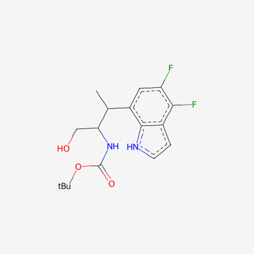 CC(c1cc(F)c(F)c2cc[nH]c12)C(CO)NC(=O)OC(C)(C)C